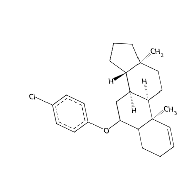 C[C@@]12CCC[C@H]1[C@@H]1CC(Oc3ccc(Cl)cc3)C3CCC=C[C@]3(C)[C@@H]1CC2